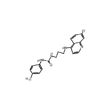 Cc1ccc(NC(=O)NCCCNc2ccnc3cc(Cl)ccc23)cc1